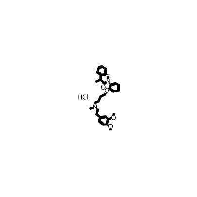 COc1ccc(CCN(C)CCCCOc2ccccc2N2Sc3ccccc3C(C)C2=O)cc1OC.Cl